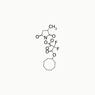 CC1CC(=O)N(OS(=O)(=O)C(F)(F)C(=O)OC2CCCCCCC2)C1=O